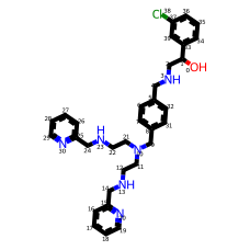 OC(CNCc1ccc(CN(CCNCc2ccccn2)CCNCc2ccccn2)cc1)c1cccc(Cl)c1